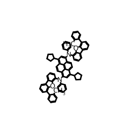 Cc1ccccc1-c1cccc2c1oc1c(N(c3ccccc3)c3cc(C4CCCC4)c4ccc5c(N(c6ccccc6)c6cccc7c6oc6c(-c8ccccc8C)cccc67)cc(C6CCCC6)c6ccc3c4c65)cccc12